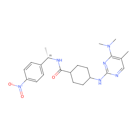 Cc1cnc(NC2CCC(C(=O)N[C@@H](C)c3ccc([N+](=O)[O-])cc3)CC2)nc1N(C)C